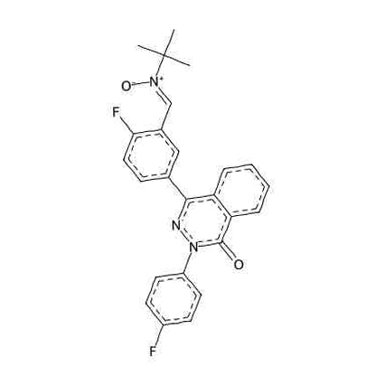 CC(C)(C)/[N+]([O-])=C/c1cc(-c2nn(-c3ccc(F)cc3)c(=O)c3ccccc23)ccc1F